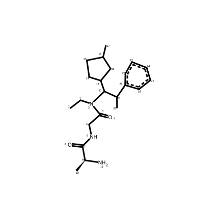 CCN(C(=O)CNC(=O)[C@H](C)N)C(C1CCC(C)C1)C(C)c1ccccc1